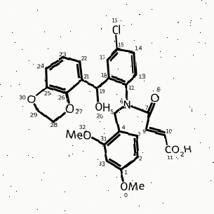 COc1ccc(CN(C(=O)C=CC(=O)O)c2ccc(Cl)cc2C(O)c2cccc3c2OCCO3)c(OC)c1